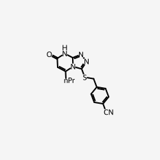 CCCc1cc(=O)[nH]c2nnc(SCc3ccc(C#N)cc3)n12